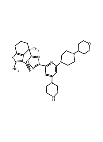 CC1(c2nc(-c3cc(N4CCNCC4)cc(N4CCN(C5CCOCC5)CC4)n3)no2)CCCc2sc(N)c(C#N)c21